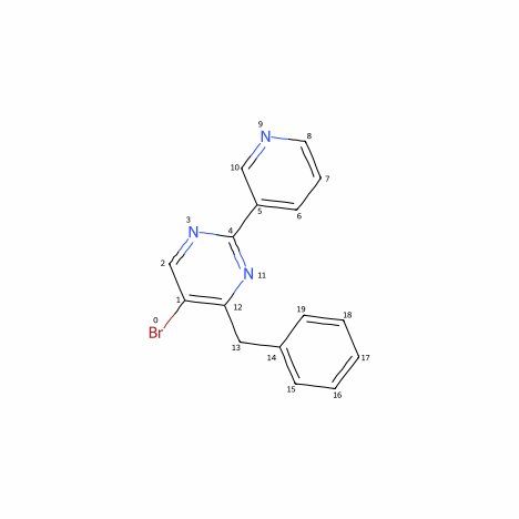 Brc1cnc(-c2cccnc2)nc1Cc1ccccc1